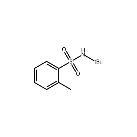 Cc1ccccc1S(=O)(=O)NC(C)(C)C